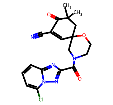 CC1(C)CC2(C=C(C#N)C1=O)CN(C(=O)c1nc3cccc(Cl)n3n1)CCO2